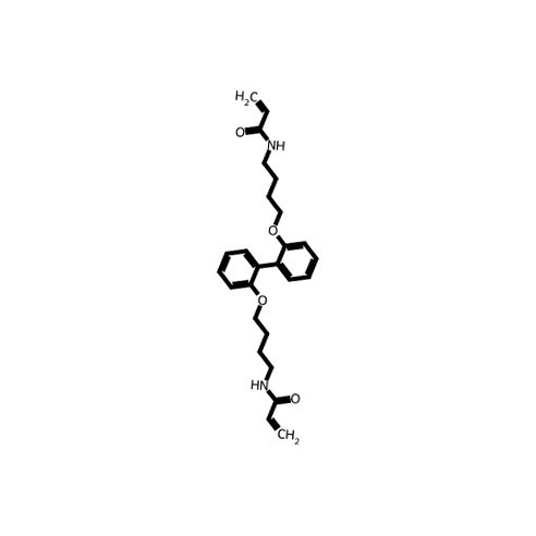 C=CC(=O)NCCCCOc1ccccc1-c1ccccc1OCCCCNC(=O)C=C